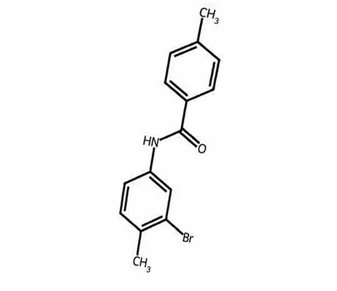 Cc1ccc(C(=O)Nc2ccc(C)c(Br)c2)cc1